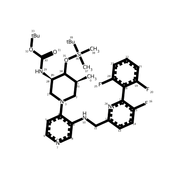 C[C@H]1CN(c2ccncc2NCc2ccc(F)c(-c3c(F)cccc3F)n2)C[C@@H](NC(=O)OC(C)(C)C)C1O[Si](C)(C)C(C)(C)C